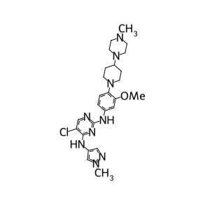 COc1cc(Nc2ncc(Cl)c(Nc3cnn(C)c3)n2)ccc1N1CCC(N2CCN(C)CC2)CC1